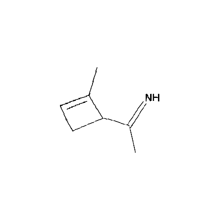 CC(=N)C1CC=C1C